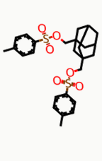 Cc1ccc(S(=O)(=O)OCC23CC4CC(C2)CC(COS(=O)(=O)c2ccc(C)cc2)(C4)C3)cc1